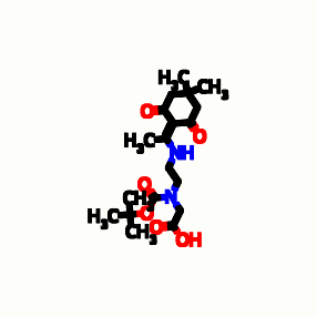 CC(NCCN(CC(=O)O)C(=O)OC(C)(C)C)=C1C(=O)CC(C)(C)CC1=O